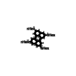 CCCCCCc1cc2cc(CCCCCC)cc3c4cc(CCCCCC)cc5cc(CCCCCC)cc(c(c1)c23)c54